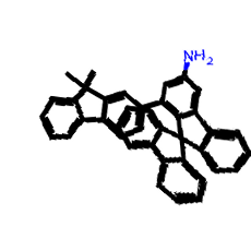 CC1(C)c2ccccc2-c2ccc(-c3cc(N)cc4c3C3(c5ccccc5-c5ccccc53)c3ccccc3-4)cc21